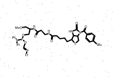 CC/N=C/OP(OCC(COC)NC(=O)CCNC(=O)CCCCC1SCC2C1NC(=O)N2C(=O)c1ccc(C(C)(C)C)cc1)N(C(C)C)C(C)C